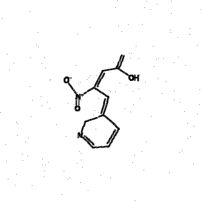 C=C(O)/C=C(\C=C1\C=CC=NC1)[N+](=O)[O-]